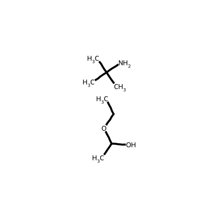 CC(C)(C)N.CCOC(C)O